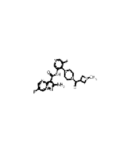 CN1CC(C(=O)N2CCN(c3c(F)cncc3NC(=O)c3c(N)nn4cc(F)cnc34)CC2)C1